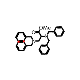 COC(=O)C(CN(Cc1ccccc1)Cc1ccccc1)N(Cc1ccccc1)Cc1ccccc1